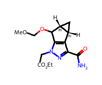 CCOC(=O)Cn1nc(C(N)=O)c2c1C(OCOC)[C@@H]1C[C@H]21